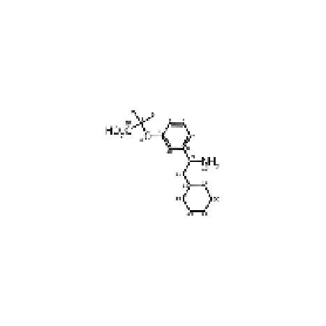 CC(C)(Oc1cccc(C(N)CC2CCCCC2)c1)C(=O)O